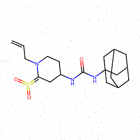 C=CCN1CCC(NC(=O)NC23CC4CC(CC(C4)C2)C3)CC1=S(=O)=O